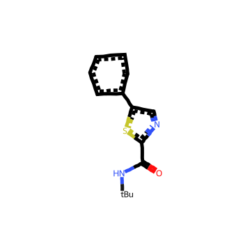 CC(C)(C)NC(=O)c1ncc(-c2ccccc2)s1